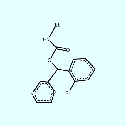 CCNC(=O)OC(c1cnccn1)c1ccccc1CC